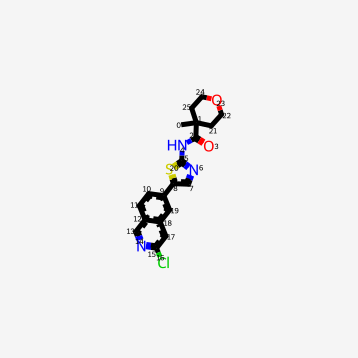 CC1(C(=O)Nc2ncc(-c3ccc4cnc(Cl)cc4c3)s2)CCOCC1